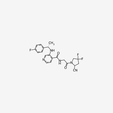 C[C@H](Nc1cnccc1C(=O)NCC(=O)N1CC(F)(F)CC1C#N)c1ccc(F)cc1